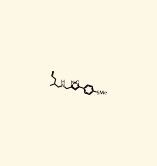 C=CCC(C)CNCc1cc(-c2ccc(SC)cc2)on1